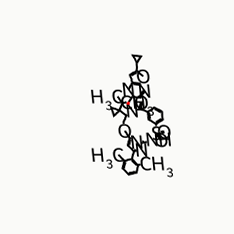 Cc1cccc(C)c1-c1cc2nc(n1)NS(=O)(=O)c1cccc(c1)C(=O)N(Cc1cnc3oc(C4CC4)cc3n1)C(C1(C(C)C)CC1)CO2